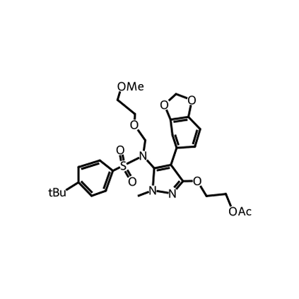 COCCOCN(c1c(-c2ccc3c(c2)OCO3)c(OCCOC(C)=O)nn1C)S(=O)(=O)c1ccc(C(C)(C)C)cc1